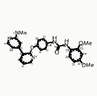 CNc1cc(-c2cccnc2Oc2ccc(NC(=O)Nc3ccc(OC)cc3OC)cc2)ccn1